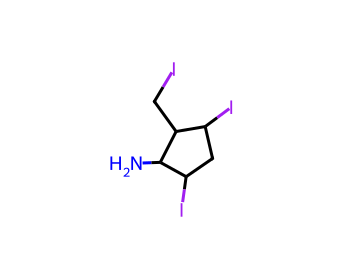 NC1C(I)CC(I)C1CI